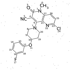 Cn1c(=O)c(C#N)c(N2CCC(Oc3cccc(F)c3)CC2)c2nc(Cl)ccc21